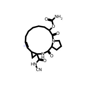 N#CNC(=O)C12CC1/C=C\CCCCCC(OC(N)=O)C(=O)N1CCCC1C(=O)N2